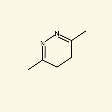 CC1=NN=C(C)CC1